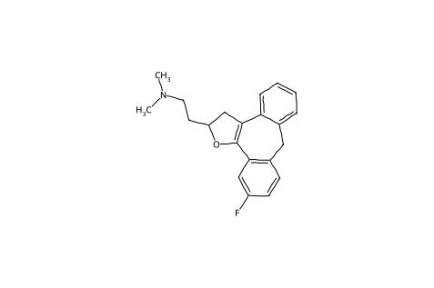 CN(C)CCC1CC2=C(O1)c1cc(F)ccc1Cc1ccccc12